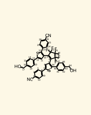 N#Cc1ccc(-c2cc(C3=C(c4cc(-c5ccc(CO)cc5)sc4-c4ccc(C#N)cc4)C(F)(F)C(F)(F)C3(F)F)c(-c3ccc(CO)cc3)s2)cc1